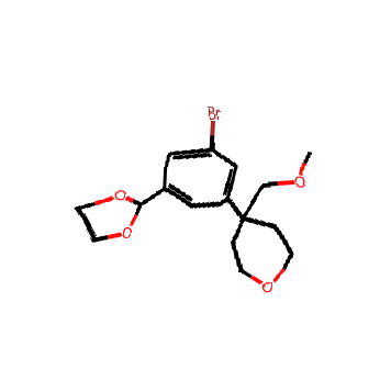 COCC1(c2cc(Br)cc(C3OCCO3)c2)CCOCC1